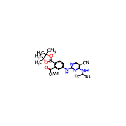 CCC(CC)Nc1nc(Nc2ccc(B3OC(C)(C)C(C)(C)O3)c(C(=O)OC)c2)ncc1C#N